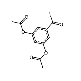 CC(=O)Oc1cc(OC(C)=O)cc(C(=O)I)c1